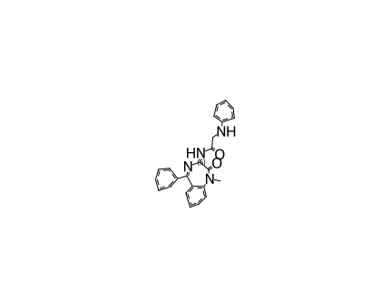 CN1C(=O)[C@@H](NC(=O)CNc2ccccc2)N=C(c2ccccc2)c2ccccc21